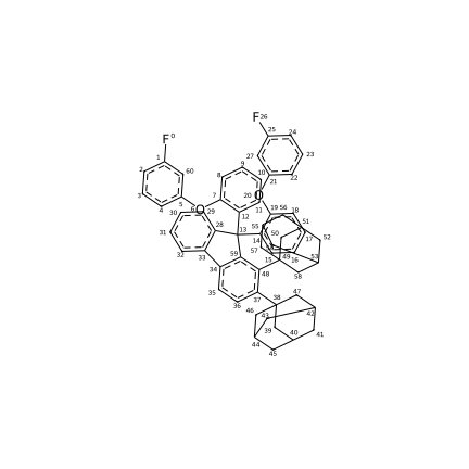 Fc1cccc(Oc2ccccc2C2(c3ccccc3Oc3cccc(F)c3)c3ccccc3-c3ccc(C45CC6CC(CC(C6)C4)C5)c(C45CC6CC(CC(C6)C4)C5)c32)c1